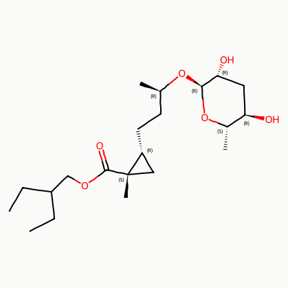 CCC(CC)COC(=O)[C@@]1(C)C[C@H]1CC[C@@H](C)O[C@@H]1O[C@@H](C)[C@H](O)C[C@H]1O